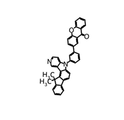 CC1(C)c2ccccc2-c2ccc3c(c21)c1cnccc1n3-c1cccc(-c2ccc3oc4ccccc4c(=O)c3c2)c1